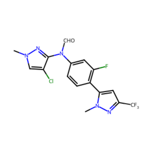 Cn1cc(Cl)c(N(C=O)c2ccc(-c3cc(C(F)(F)F)nn3C)c(F)c2)n1